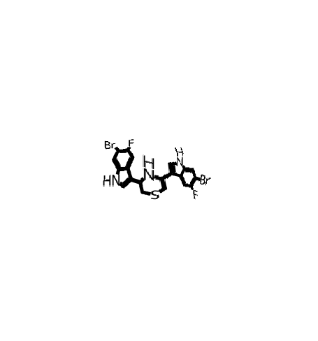 Fc1cc2c(C3CSCC(c4c[nH]c5cc(Br)c(F)cc45)N3)c[nH]c2cc1Br